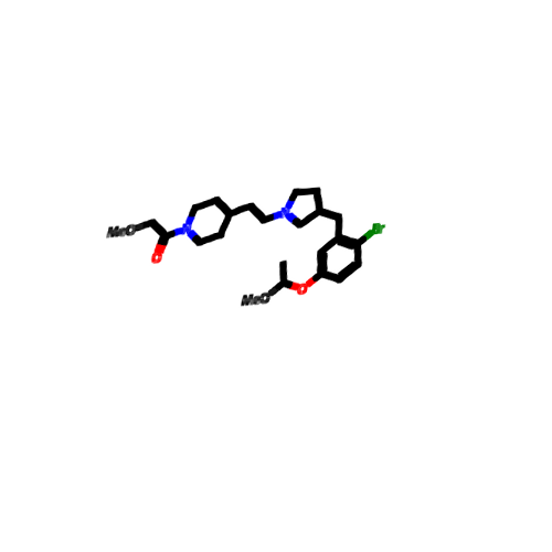 COCC(=O)N1CCC(CCN2CCC(Cc3cc(OC(C)OC)ccc3Br)C2)CC1